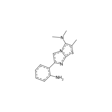 Cc1sc2nc(-c3ccccc3N)cn2c1N(C)C